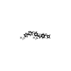 CC1=NC(c2cnc(Oc3ccc(C(C)(C)Cc4ccc(OC5CCC5)cc4)cc3)cn2)=NC1